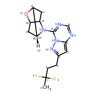 CC(F)(F)CCc1cc2ncnc(N3C4CC5OC4C[C@H]53)n2n1